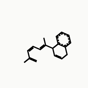 C=C(C)/C=C\C=C(/C)C1C=CCc2ccccc21